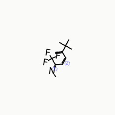 C=C(/C=C\C(=N/C)C(F)(F)F)C(C)(C)C